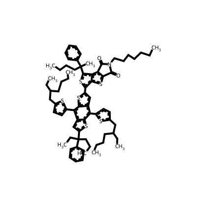 CCCCCCCN1C(=O)c2sc3c(-c4cc5c(-c6ccc(CC(CC)CCCC)s6)c6sc(C(CC)(CCC)c7ccccc7)cc6c(-c6ccc(CC(CC)CCCC)s6)c5s4)sc(C(C)(CCCC)c4ccccc4)c3c2C1=O